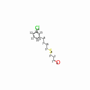 O=CCCSC[CH]CCc1cccc(Cl)c1